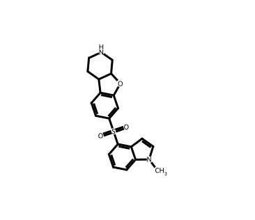 Cn1ccc2c(S(=O)(=O)c3ccc4c(c3)OC3CNCCC43)cccc21